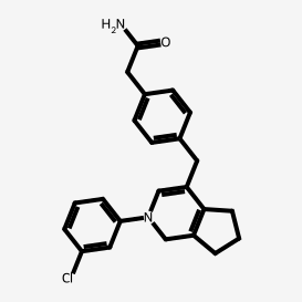 NC(=O)Cc1ccc(CC2=CN(c3cccc(Cl)c3)CC3=C2CCC3)cc1